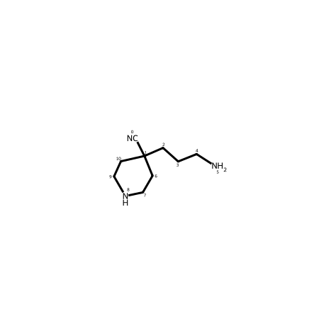 N#CC1(CCCN)CCNCC1